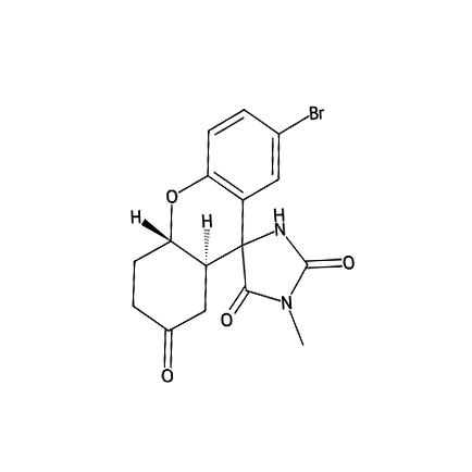 CN1C(=O)NC2(C1=O)c1cc(Br)ccc1O[C@H]1CCC(=O)C[C@@H]12